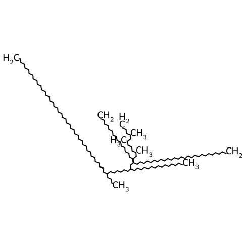 C=CCCCCCCCCCCCCCCCCCCCCCCCCCCCCCCCCCCCCCCC=CCC(CCCC)CCCCCCC(CCCCCCCCCCCCCCCC)CC(CCCCCCCCCCCCCCCCCCCCCCCCCCC=C)=C(CCCCCCCCCCCCCCC=C)CC(C)CCCC(C)CC(C)CCC=C